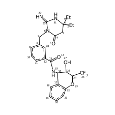 CCC1(CC)CC(=O)N(Cc2cccc(C(=O)NC3c4ccccc4OC(C(F)(F)F)C3O)c2)C(=N)N1